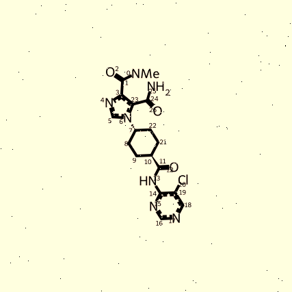 CNC(=O)c1ncn([C@H]2CC[C@H](C(=O)Nc3ncncc3Cl)CC2)c1C(N)=O